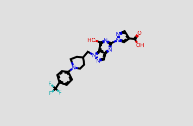 O=C(O)c1cnn(-c2nc(O)c3c(cnn3CC3CCN(c4ccc(C(F)(F)F)cc4)CC3)n2)c1